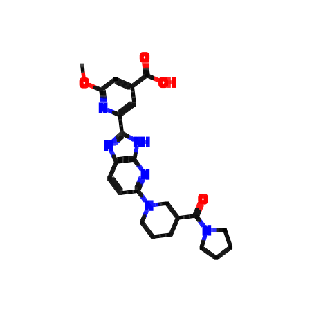 COc1cc(C(=O)O)cc(-c2nc3ccc(N4CCCC(C(=O)N5CCCC5)C4)nc3[nH]2)n1